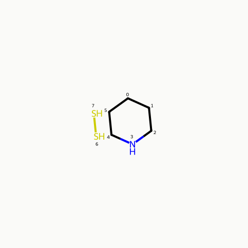 C1CCNCC1.SS